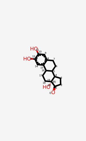 O=C1CCC2C3CCc4cc(O)c(O)cc4C3CC[C@]12O